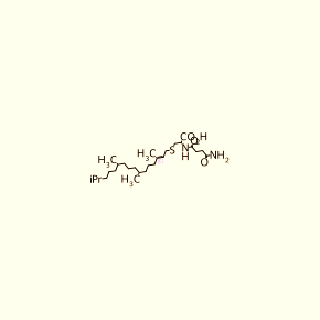 C/C(=C\CSCC(NC(=O)CCC(N)=O)C(=O)O)CCCC(C)CCCC(C)CCCC(C)C